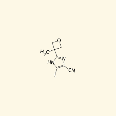 CC1(c2nc(C#N)c(I)[nH]2)COC1